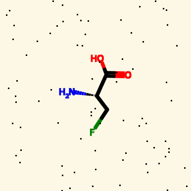 N[C@@H](CF)C(=O)O